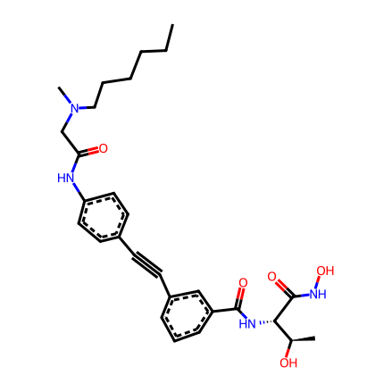 CCCCCCN(C)CC(=O)Nc1ccc(C#Cc2cccc(C(=O)N[C@H](C(=O)NO)[C@@H](C)O)c2)cc1